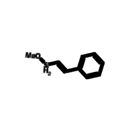 CO[SiH2]C=Cc1ccccc1